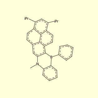 CC(C)c1cc(C(C)C)c2ccc3c4c(cc5ccc1c2c53)N(C)c1ccccc1B4c1ccccc1